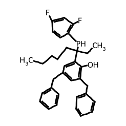 CCCCCC(CC)(Pc1ccc(F)cc1F)c1cc(Cc2ccccc2)cc(Cc2ccccc2)c1O